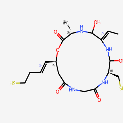 C/C=C1\NC(O)[C@@H](CS)NC(=O)CNC(=O)C[C@@H](/C=C/CCS)OC(=O)[C@H](C(C)C)NC1O